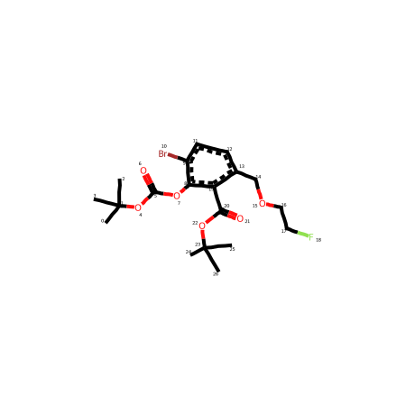 CC(C)(C)OC(=O)Oc1c(Br)ccc(COCCF)c1C(=O)OC(C)(C)C